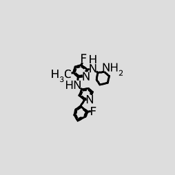 Cc1cc(F)c(NC2CCCCC2N)nc1Nc1ccnc(-c2ccccc2F)c1